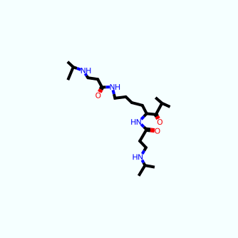 CC(C)NCCC(=O)NCCCCC(NC(=O)CCNC(C)C)C(=O)C(C)C